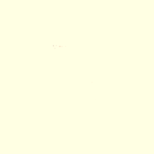 COc1ccc(C(=O)CCl)c2ccccc12